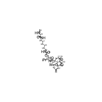 COC1C(OC(=O)N[C@@H](COC(=O)NCCCCCCNC(=O)CNI)C(C)C)CC[C@]2(CO2)C1C1(C)O[C@@H]1CC=C(C)C